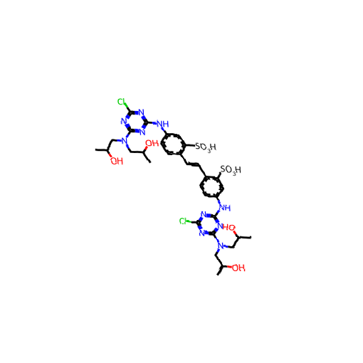 CC(O)CN(CC(C)O)c1nc(Cl)nc(Nc2ccc(/C=C/c3ccc(Nc4nc(Cl)nc(N(CC(C)O)CC(C)O)n4)cc3S(=O)(=O)O)c(S(=O)(=O)O)c2)n1